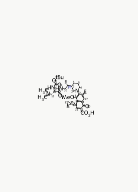 COc1c(N2CCC/C(=C(\F)CNC(=O)[C@H](CN(C)C)NC(=O)OC(C)(C)C)C2)c(F)cc2c(=O)c(C(=O)O)cn(C3CC3)c12